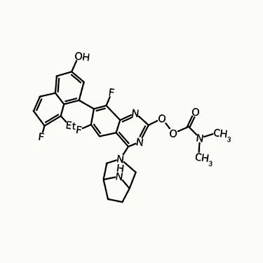 CCc1c(F)ccc2cc(O)cc(-c3c(F)cc4c(N5CC6CCC(C5)N6)nc(OOC(=O)N(C)C)nc4c3F)c12